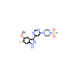 CC(C)Oc1cc2c(-c3cc(N4CCN(S(C)(=O)=O)CC4)ncn3)n[nH]c2cc1F